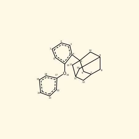 [c]1cccc(C23CC4CC(CC(C4)C2)C3)c1Oc1ccccc1